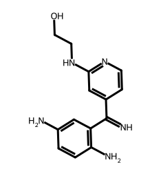 N=C(c1ccnc(NCCO)c1)c1cc(N)ccc1N